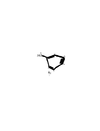 Oc1ccccc1.[Au]